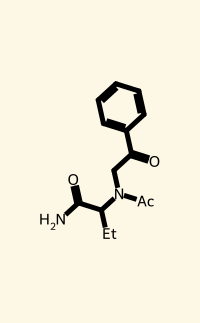 CCC(C(N)=O)N(CC(=O)c1ccccc1)C(C)=O